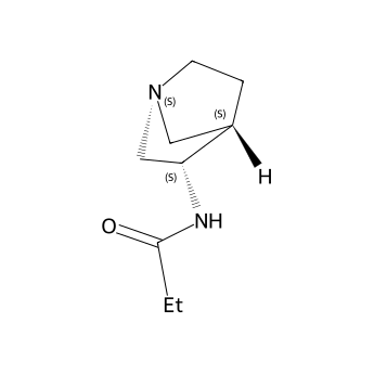 CCC(=O)N[C@@H]1C[N@]2CC[C@H]1C2